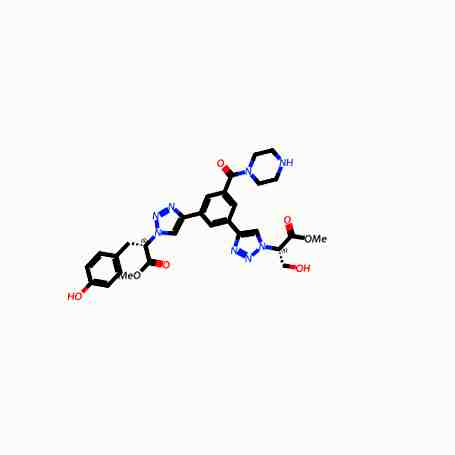 COC(=O)[C@H](CO)n1cc(-c2cc(C(=O)N3CCNCC3)cc(-c3cn([C@@H](Cc4ccc(O)cc4)C(=O)OC)nn3)c2)nn1